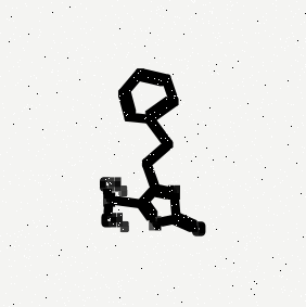 CN(C)C1=NC(=O)N=C1CCc1ccccc1